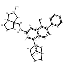 Fc1c(-c2ccccc2)ncc2c(N3CC4CCC(C3)N4)nc(OC[C@@]34CCCN3C[C@H](F)C4)nc12